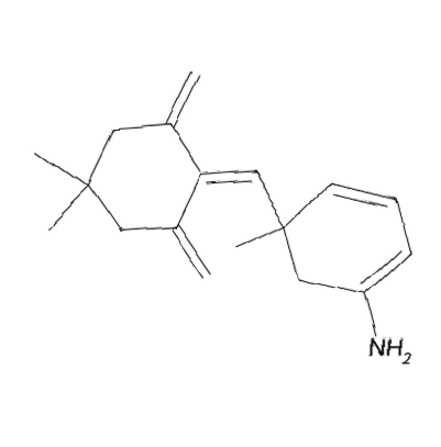 C=C1CC(C)(C)CC(=C)C1=CC1(C)C=CC=C(N)C1